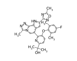 Cc1nc(-c2cc3c(-c4nc(C(C)(C)O)ccc4Oc4c(C)cc(F)cc4C)cn4c(C)nnc4c3[nH]2)no1